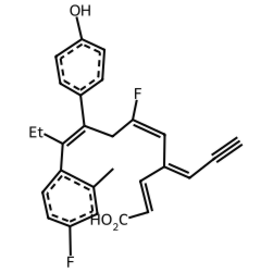 C#C/C=C(/C=C/C(=O)O)\C=C(\F)C/C(=C(/CC)c1ccc(F)cc1C)c1ccc(O)cc1